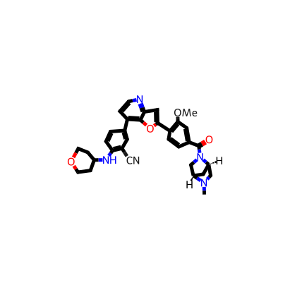 COc1cc(C(=O)N2C[C@H]3C[C@@H]2CN3C)ccc1-c1cc2nccc(-c3ccc(NC4CCOCC4)c(C#N)c3)c2o1